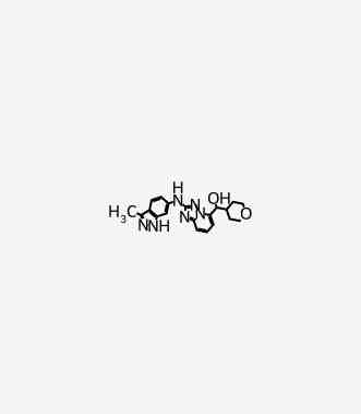 Cc1n[nH]c2cc(Nc3nc4cccc(C(O)C5CCOCC5)n4n3)ccc12